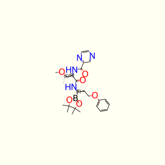 CO[C@@H](C)[C@@H](NC(=O)c1cnccn1)C(=O)N[C@@H](CCOc1ccccc1)B1OC(C)(C)C(C)(C)O1